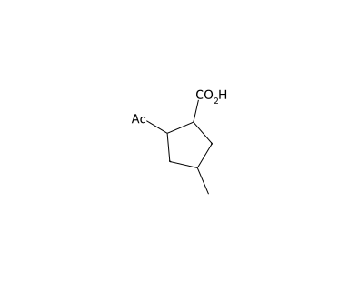 CC(=O)C1CC(C)CC1C(=O)O